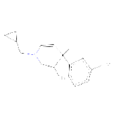 CCCC1CN(CC2CC2)C=CC1(CC)c1cccc(OC)c1